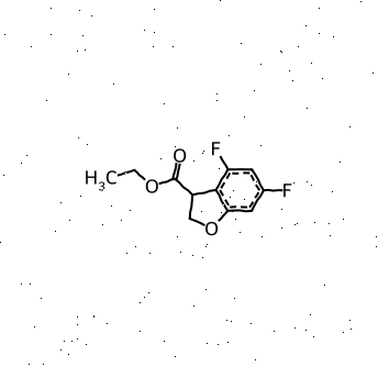 CCOC(=O)C1COc2cc(F)cc(F)c21